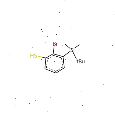 CC(C)(C)[Si](C)(C)c1cccc(S)c1Br